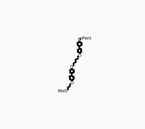 [CH2+][CH-]CCCOc1ccc(-c2ccc(OCCCCCCOc3ccc(-c4ccc(OCCCCOC)cc4)cc3)cc2)cc1